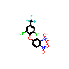 O=[N+]([O-])c1ccc(Oc2c(Cl)cc(C(F)(F)F)cc2Cl)cc1[N+](=O)[O-]